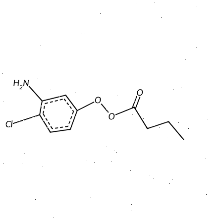 CCCC(=O)OOc1ccc(Cl)c(N)c1